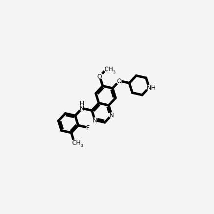 COc1cc2c(Nc3cccc(C)c3F)ncnc2cc1OC1CCNCC1